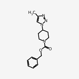 Cc1cn(C2CCN(C(=O)OCc3ccccc3)CC2)nn1